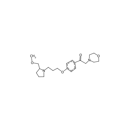 COCC1CCCN1CCCOc1ccc(C(=O)CN2CCOCC2)cc1